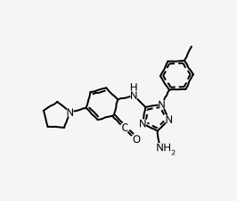 Cc1ccc(-n2nc(N)nc2NC2C=CC(N3CCCC3)=CC2=C=O)cc1